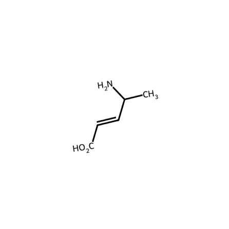 CC(N)C=CC(=O)O